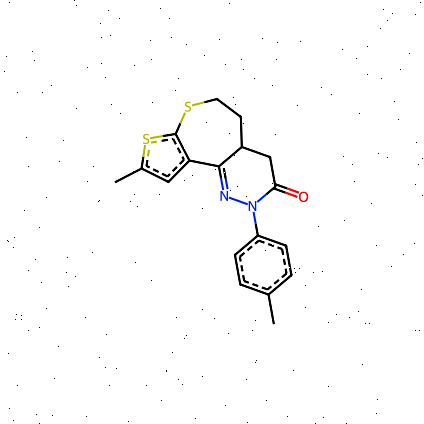 Cc1ccc(N2N=C3c4cc(C)sc4SCCC3CC2=O)cc1